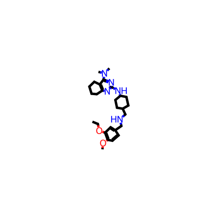 CCOc1cc(CNCC2CCC(Nc3nc4c(c(N(C)C)n3)CCCC4)CC2)ccc1OC